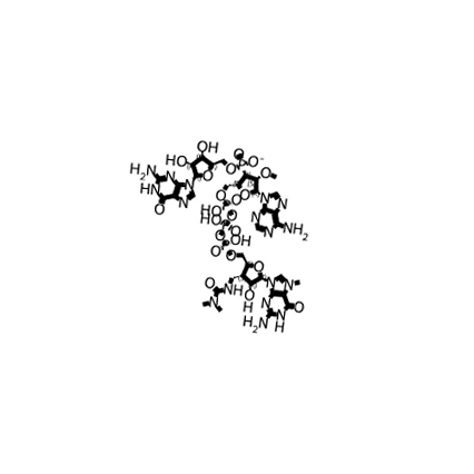 CO[C@@H]1[C@H](P(=O)([O-])OC[C@H]2O[C@@H](n3cnc4c(=O)[nH]c(N)nc43)[C@H](O)[C@@H]2O)[C@@H](COP(=O)(O)OP(=O)(O)OP(=O)(O)OC[C@H]2O[C@@H](n3c[n+](C)c4c(=O)[nH]c(N)nc43)[C@H](O)[C@@H]2CNC(=O)N(C)C)O[C@H]1n1cnc2c(N)ncnc21